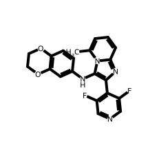 Cc1cccc2nc(-c3c(F)cncc3F)c(Nc3ccc4c(c3)OCCO4)n12